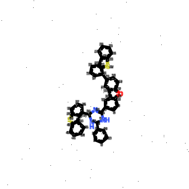 c1ccc(C2NC(c3ccc4oc5ccc(-c6cccc7c6sc6ccccc67)cc5c4c3)=NC(c3cccc4sc5ccccc5c34)N2)cc1